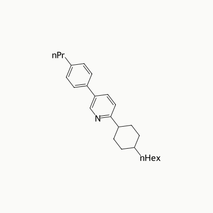 CCCCCCC1CCC(c2ccc(-c3ccc(CCC)cc3)cn2)CC1